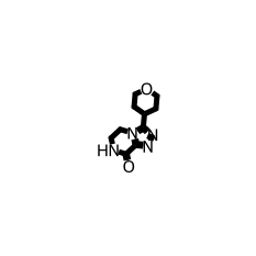 O=C1NCCn2c1nnc2C1CCOCC1